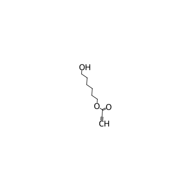 C#CC(=O)OCCCCCCO